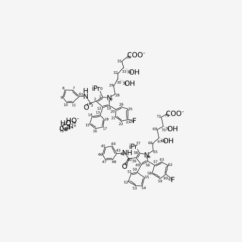 CC(C)c1c(C(=O)Nc2ccccc2)c(-c2ccccc2)c(-c2ccc(F)cc2)n1CC[C@@H](O)C[C@@H](O)CC(=O)[O-].CC(C)c1c(C(=O)Nc2ccccc2)c(-c2ccccc2)c(-c2ccc(F)cc2)n1CC[C@@H](O)C[C@@H](O)CC(=O)[O-].[Ca+2].[Ca+2].[OH-].[OH-]